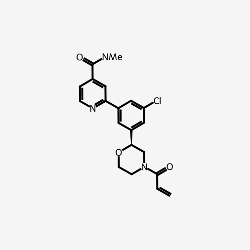 C=CC(=O)N1CCO[C@@H](c2cc(Cl)cc(-c3cc(C(=O)NC)ccn3)c2)C1